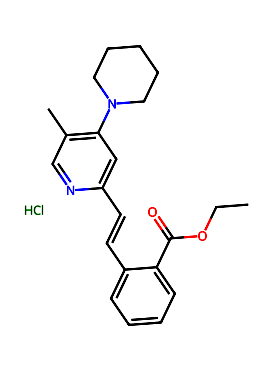 CCOC(=O)c1ccccc1/C=C/c1cc(N2CCCCC2)c(C)cn1.Cl